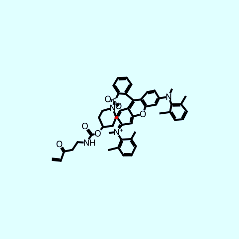 C=CC(=O)CCNC(=O)OC1CCN(S(=O)(=O)c2ccccc2-c2c3cc/c(=[N+](\C)c4c(C)cccc4C)cc-3oc3cc(N(C)c4c(C)cccc4C)ccc23)CC1